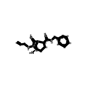 C=CCON1C(=O)N2C[C@H]1CCC2C(=O)OCc1ccccc1